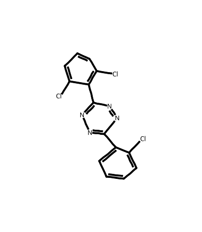 Clc1ccccc1-c1nnc(-c2c(Cl)cccc2Cl)nn1